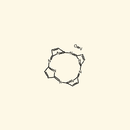 C1=CC2=NC3=NC(=NC4=NC(=NC5=NC(=NC1=N2)C=C5)C=C4)C=C3.[O]=[V]